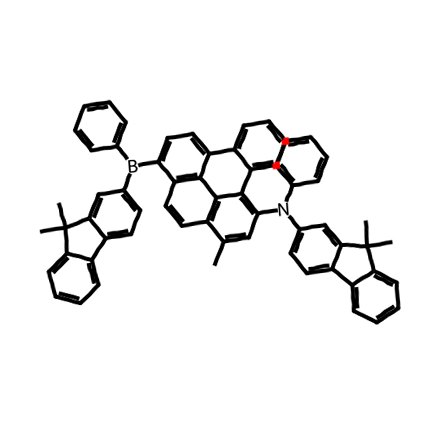 Cc1cc(N(c2ccccc2)c2ccc3c(c2)C(C)(C)c2ccccc2-3)c2c3ccccc3c3ccc(B(c4ccccc4)c4ccc5c(c4)C(C)(C)c4ccccc4-5)c4ccc1c2c43